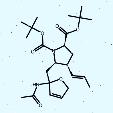 CC=C[C@@H]1C[C@H](C(=O)OC(C)(C)C)N(C(=O)OC(C)(C)C)[C@@H]1CC1(NC(C)=O)C=CCO1